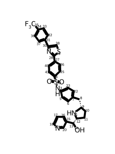 O=S(=O)(Nc1ccc(C[C@@H]2CC[C@H](C(O)c3cccnc3)N2)cc1)c1ccc(-c2nc(-c3ccc(C(F)(F)F)cc3)cs2)cc1